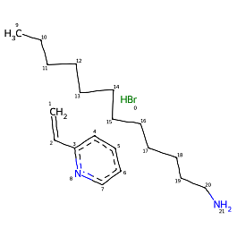 Br.C=Cc1ccccn1.CCCCCCCCCCCCN